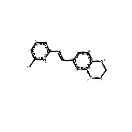 Cc1cccc(C=Cc2ccc3c(c2)OCCO3)n1